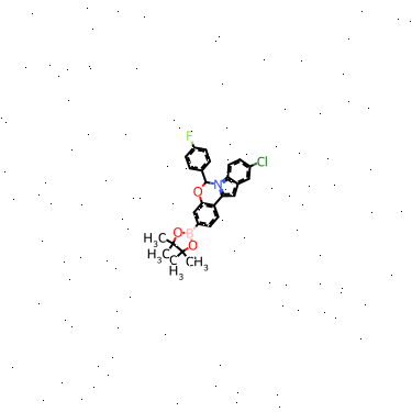 CC1(C)OB(c2ccc3c(c2)OC(c2ccc(F)cc2)n2c-3cc3cc(Cl)ccc32)OC1(C)C